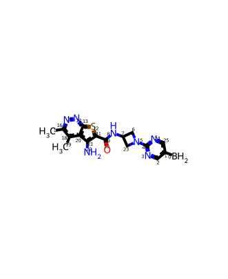 Bc1cnc(N2CC(NC(=O)c3sc4nnc(C)c(C)c4c3N)C2)nc1